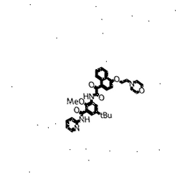 COc1c(NC(=O)C(=O)c2ccc(OCCN3CCOCC3)c3ccccc23)cc(C(C)(C)C)cc1C(=O)Nc1ccccn1